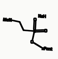 CCCCCOS(=O)(=O)CCNC.[NaH]